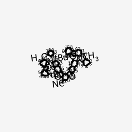 Cc1ccccc1N(c1ccc2cc3c(cc2c1)oc1cc(C#N)c2oc4cc5cc(N(c6ccccc6C)c6cccc7c6oc6c(C(C)(C)C)cccc67)ccc5cc4c2c13)c1cccc2c1oc1c(C(C)(C)C)cccc12